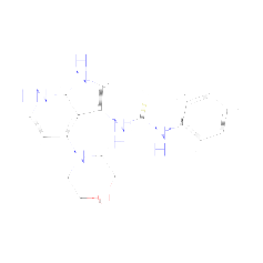 S=C(NC1=CNC2NC=CC(N3CCOCC3)=C12)Nc1ccccc1